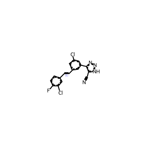 N#Cc1[nH]nnc1-c1cc(Cl)cc(/C=C/c2ccc(F)c(Cl)c2)c1